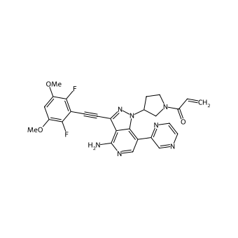 C=CC(=O)N1CCC(n2nc(C#Cc3c(F)c(OC)cc(OC)c3F)c3c(N)ncc(-c4cnccn4)c32)C1